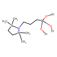 CCO[Si](CCCN1[Si](C)(C)CC[Si]1(C)C)(OCC)OCC